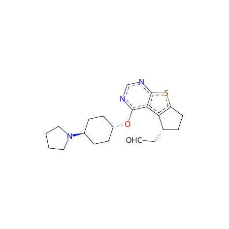 O=CC[C@H]1CCc2sc3ncnc(O[C@H]4CC[C@H](N5CCCC5)CC4)c3c21